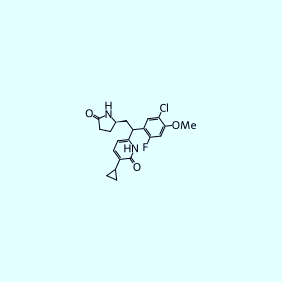 COc1cc(F)c(C(C[C@H]2CCC(=O)N2)c2ccc(C3CC3)c(=O)[nH]2)cc1Cl